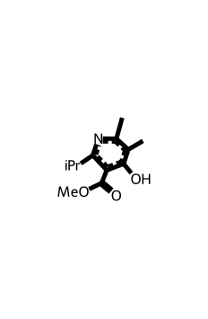 COC(=O)c1c(C(C)C)nc(C)c(C)c1O